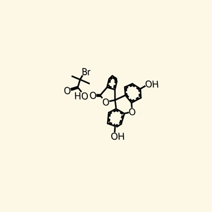 CC(C)(Br)C(=O)O.O=C1OC2(c3ccc(O)cc3Oc3cc(O)ccc32)c2ccccc21